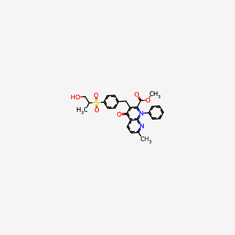 COC(=O)c1c(Cc2ccc(S(=O)(=O)C(C)CO)cc2)c(=O)c2ccc(C)nc2n1-c1ccccc1